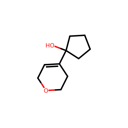 OC1(C2=CCOCC2)CCCC1